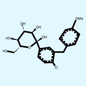 COc1ccc(Cc2cc([C@]3(O)O[C@H](CS)[C@@H](O)[C@H](O)[C@H]3O)ccc2Cl)cc1